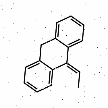 CC=C1c2ccccc2Cc2ccccc21